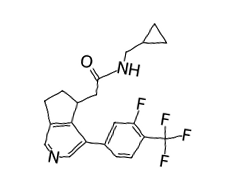 O=C(CC1CCc2cncc(-c3ccc(C(F)(F)F)c(F)c3)c21)NCC1CC1